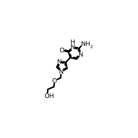 Nc1ncc(-c2cn(COCCO)cn2)c(=O)[nH]1